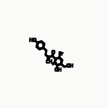 CN(CCc1ccc(O)cc1)C(=O)c1cc(O)c(CO)cc1Br